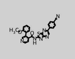 COc1ccccc1-c1cnccc1C(=O)Nc1nc2ncc(-c3ccc(C#N)cc3)nc2s1